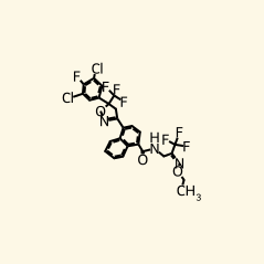 CCO/N=C(\CNC(=O)c1ccc(C2=NOC(c3cc(Cl)c(F)c(Cl)c3)(C(F)(F)F)C2)c2ccccc12)C(F)(F)F